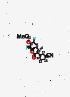 COCOc1c(F)cc2c(C)c(-c3cccc(C#N)c3)c(=O)oc2c1F